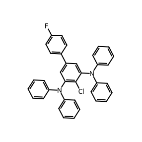 Fc1ccc(-c2cc(N(c3ccccc3)c3ccccc3)c(Cl)c(N(c3ccccc3)c3ccccc3)c2)cc1